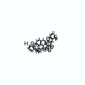 COc1ccc(Cn2c(/C=C/c3cnn(-c4ccccc4)c3)c([N+](=O)[O-])c(=O)n(Cc3ccccc3F)c2=O)cc1